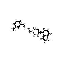 Clc1cccc(SCCCN2CCN(c3cccc4[nH]ccc34)CC2)c1